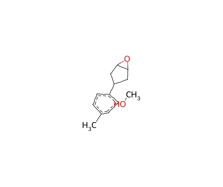 CO.Cc1ccc(C2CC3OC3C2)cc1